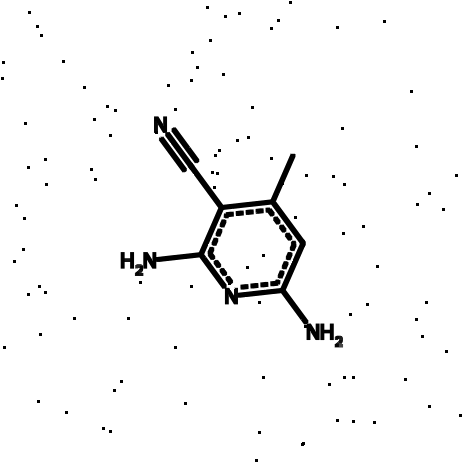 Cc1cc(N)nc(N)c1C#N